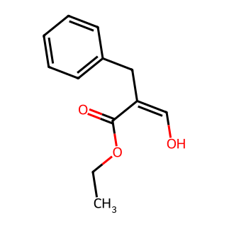 CCOC(=O)C(=CO)Cc1ccccc1